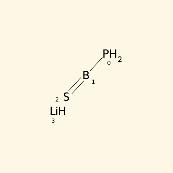 PB=S.[LiH]